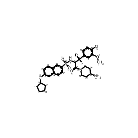 COc1cc(C(F)(F)C(NS(=O)(=O)c2ccc3cc(OC4CCCC4)ccc3c2)C(=O)N2CCC(N)CC2)ccc1Cl